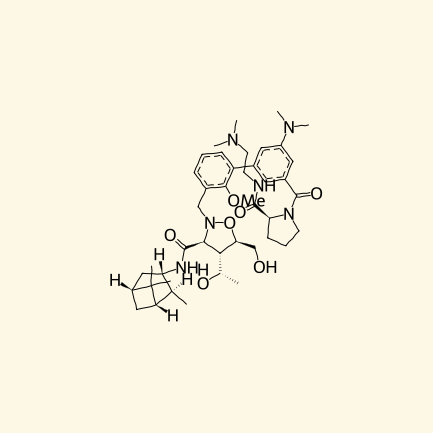 COc1c(CN2O[C@@H](CO)[C@H]([C@H](C)O)[C@H]2C(=O)N[C@H]2C[C@H]3C[C@@H]([C@@H]2C)C3(C)C)cccc1-c1cc(C(=O)N2CCC[C@H]2C(=O)NCCN(C)C)cc(N(C)C)c1